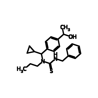 CCCN(C(=S)NCc1ccccc1)C(c1ccc(C(C)O)cc1)C1CC1